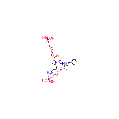 NCCCCC(NC(CCc1ccccc1)C(=O)OCCOCCON(O)O)C(=O)N1CCCC1C(=O)OCCOCCON(O)O